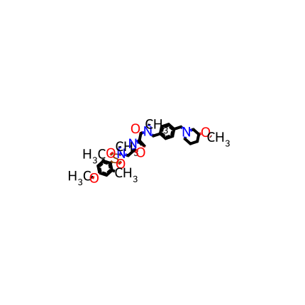 COc1cc(C)c(S(=O)(=O)N(C)Cc2nc(C(=O)N(C)Cc3ccc(CN4CCCC(OC)C4)cc3)co2)c(C)c1